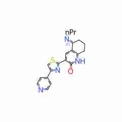 CCC/N=C1\CCCc2[nH]c(=O)c(-c3nc(-c4ccncc4)cs3)cc21